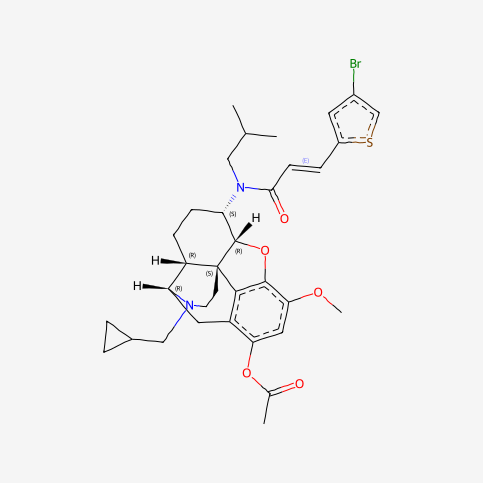 COc1cc(OC(C)=O)c2c3c1O[C@H]1[C@@H](N(CC(C)C)C(=O)/C=C/c4cc(Br)cs4)CC[C@H]4[C@@H](C2)N(CC2CC2)CC[C@@]341